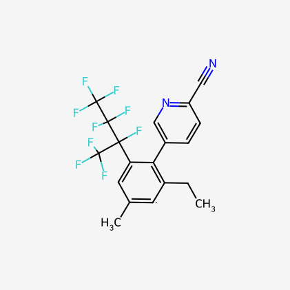 CCc1[c]c(C)cc(C(F)(C(F)(F)F)C(F)(F)C(F)(F)F)c1-c1ccc(C#N)nc1